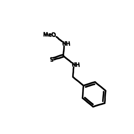 CONC(=S)NCc1ccccc1